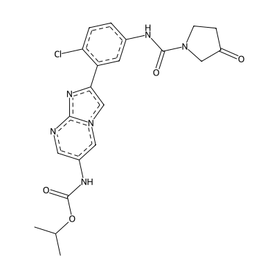 CC(C)OC(=O)Nc1cnc2nc(-c3cc(NC(=O)N4CCC(=O)C4)ccc3Cl)cn2c1